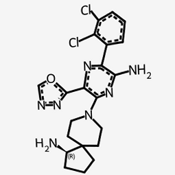 Nc1nc(N2CCC3(CCC[C@H]3N)CC2)c(-c2nnco2)nc1-c1cccc(Cl)c1Cl